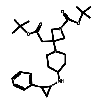 CC(C)(C)OC(=O)CC1(N2CCC(N[C@@H]3C[C@H]3c3ccccc3)CC2)CN(C(=O)OC(C)(C)C)C1